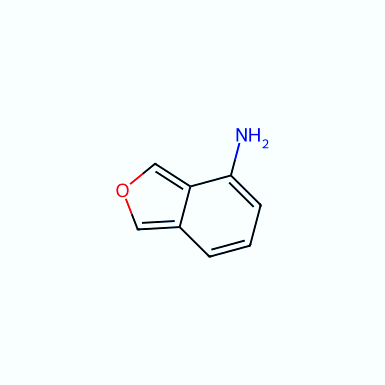 Nc1cccc2cocc12